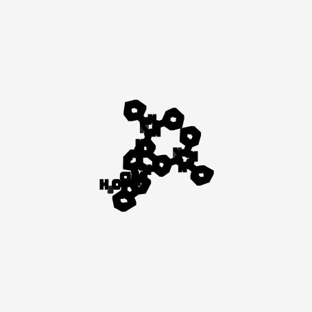 CC1(C)c2ccccc2-c2ccc3c(c21)c1ccccc1n3-c1ccc(-c2nc(-c3ccccc3)nc(-c3ccccc3)n2)cc1-c1ccnc(-c2nc(-c3ccccc3)nc(-c3ccccc3)n2)c1